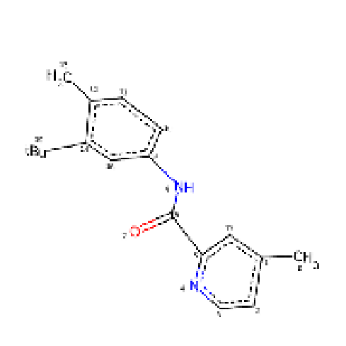 Cc1ccnc(C(=O)Nc2ccc(C)c(C(C)(C)C)c2)c1